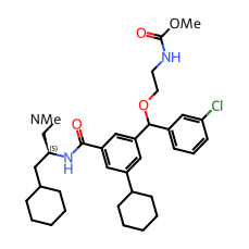 CNC[C@H](CC1CCCCC1)NC(=O)c1cc(C2CCCCC2)cc(C(OCCNC(=O)OC)c2cccc(Cl)c2)c1